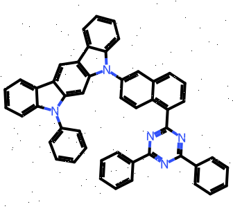 c1ccc(-c2nc(-c3ccccc3)nc(-c3cccc4cc(-n5c6ccccc6c6cc7c8ccccc8n(-c8ccccc8)c7cc65)ccc34)n2)cc1